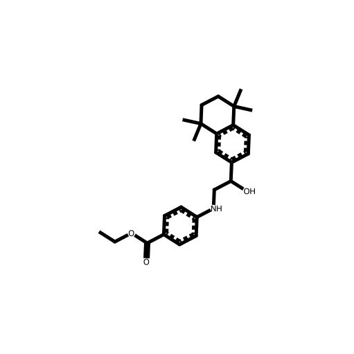 CCOC(=O)c1ccc(NCC(O)c2ccc3c(c2)C(C)(C)CCC3(C)C)cc1